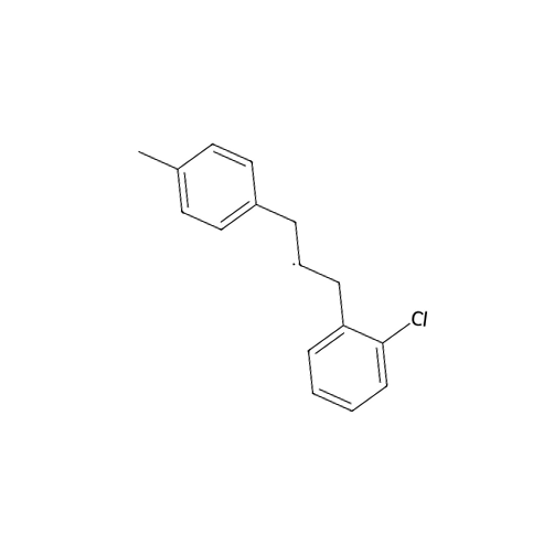 Cc1ccc(C[CH]Cc2ccccc2Cl)cc1